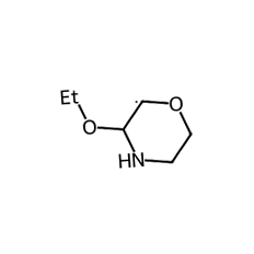 CCOC1[CH]OCCN1